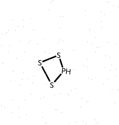 P1SSS1